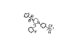 CC(O)(c1ccc(N2CCN(S(=O)(=O)c3cccs3)C[C@@H]2Cc2ccccc2F)cc1)C(F)(F)F